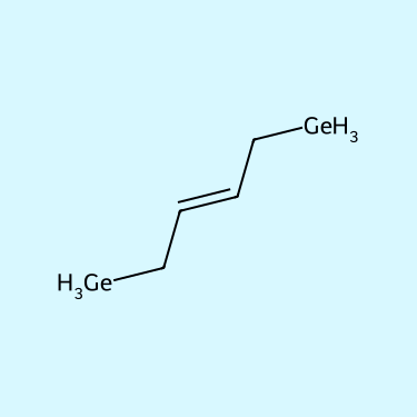 [GeH3][CH2]C=C[CH2][GeH3]